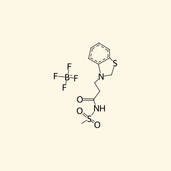 CS(=O)(=O)NC(=O)CCN1CSc2ccccc21.F[B-](F)(F)F